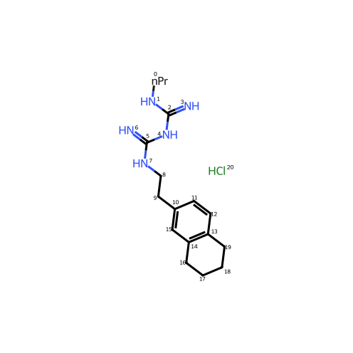 CCCNC(=N)NC(=N)NCCc1ccc2c(c1)CCCC2.Cl